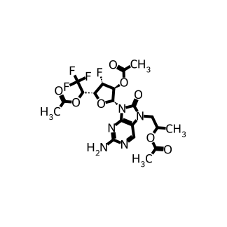 CC(=O)OC(C)Cn1c(=O)n([C@@H]2O[C@H](C(OC(C)=O)C(F)(F)F)[C@H](F)[C@H]2OC(C)=O)c2nc(N)ncc21